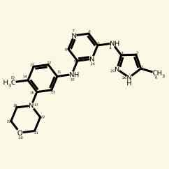 Cc1cc(Nc2cncc(Nc3ccc(C)c(N4CCOCC4)c3)n2)n[nH]1